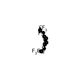 Fc1ccc(C(F)(F)F)cc1-c1ccc(-c2ccc3c(ccc4c5ccc6cc(-c7ccc(-c8cc(C(F)(F)F)ccc8F)s7)ccc6c5sc34)c2)s1